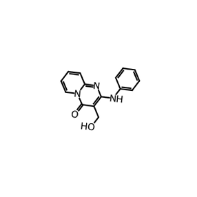 O=c1c(CO)c(Nc2ccccc2)nc2ccccn12